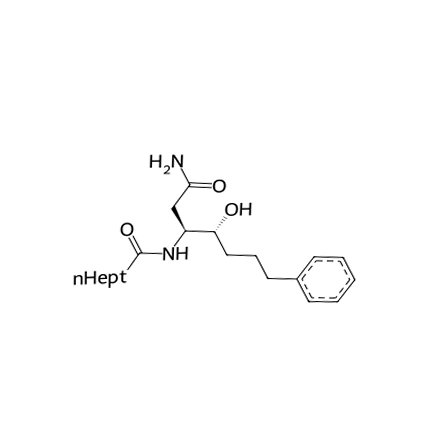 CCCCCCCC(=O)N[C@@H](CC(N)=O)[C@H](O)CCCc1ccccc1